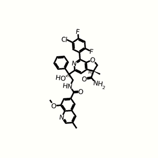 COc1cc(C(=O)NC[C@@](O)(c2ccccc2)c2cc3c(c(-c4cc(Cl)c(F)cc4F)n2)OC[C@]3(C)C(N)=O)cc2cc(C)cnc12